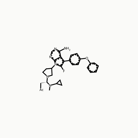 CC(=O)C[C@H](N1CCC(n2c(F)c(-c3ccc(Oc4ccccc4)cc3)c3c(N)ncnc32)C1)N(C)C1CC1